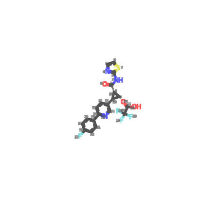 O=C(Nc1nccs1)[C@@H]1C[C@H]1c1ccc(-c2ccc(F)cc2)nc1.O=C(O)C(F)(F)F